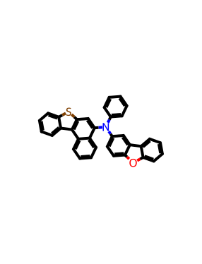 c1ccc(N(c2ccc3oc4ccccc4c3c2)c2cc3sc4ccccc4c3c3ccccc23)cc1